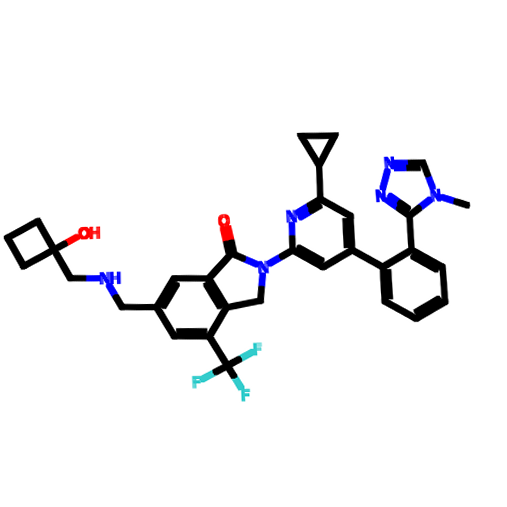 Cn1cnnc1-c1ccccc1-c1cc(C2CC2)nc(N2Cc3c(cc(CNCC4(O)CCC4)cc3C(F)(F)F)C2=O)c1